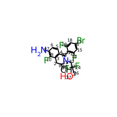 C[C@@H]1Cc2c(ccc(N)c2F)[C@@H](c2c(F)cc(Br)cc2F)N1CC(F)(F)CO